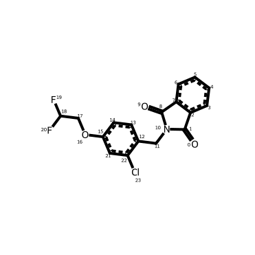 O=C1c2ccccc2C(=O)N1Cc1ccc(OCC(F)F)cc1Cl